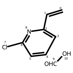 C=Cc1cccc(Cl)n1.O=CO